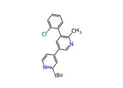 Cc1ncc(-c2ccnc(C(C)(C)C)c2)cc1-c1cc[c]cc1Cl